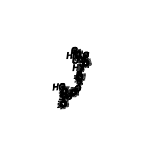 O=C1CCC(N2Cc3c(NCCN4CCN(CCOc5ccc(Oc6c(-c7ccccc7)sc7cc(O)ccc67)cc5)CC4)cccc3C2=O)C(=O)N1